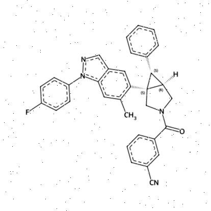 Cc1cc2c(cnn2-c2ccc(F)cc2)cc1[C@@]12CN(C(=O)c3cccc(C#N)c3)C[C@@H]1[C@H]2c1ccccc1